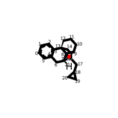 c1ccc2c(c1)C[C@@H]1[C@@H]3CCCC[C@]23CCN1CC1CC1